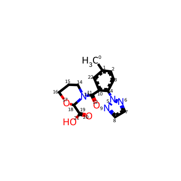 Cc1ccc(-n2nccn2)c(C(=O)N2CCCOC2C(=O)O)c1